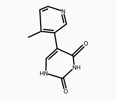 Cc1ccncc1-c1c[nH]c(=O)[nH]c1=O